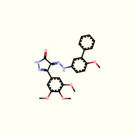 COc1ccc(N/N=C2/C(=O)NN=C2c2cc(OC)c(OC)c(OC)c2)cc1-c1ccccc1